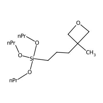 CCCO[Si](CCCC1(C)COC1)(OCCC)OCCC